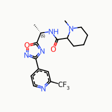 C[C@H](NC(=O)C1CCCCN1C)c1nc(-c2ccnc(C(F)(F)F)c2)no1